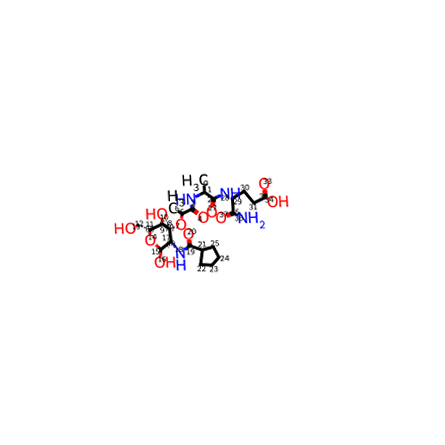 CC(NC(=O)C(C)O[C@H]1[C@H](O)[C@@H](CO)OC(O)[C@@H]1NC(=O)C1CCCC1)C(=O)NC(CCC(=O)O)C(N)=O